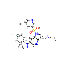 CNCc1cn(S(=O)(=O)c2cncc(F)c2)c2cc(Nc3ccc(F)cc3C)cnc12